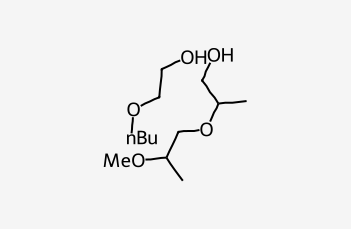 CCCCOCCO.COC(C)COC(C)CO